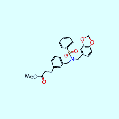 COC(=O)CCc1cccc(CN(Cc2ccc3c(c2)OCO3)S(=O)(=O)c2ccccc2)c1